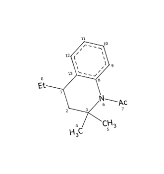 CCC1CC(C)(C)N(C(C)=O)c2ccccc21